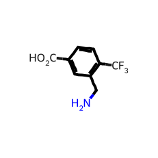 NCc1cc(C(=O)O)ccc1C(F)(F)F